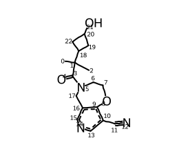 CC(C)(C(=O)N1CCOc2c(C#N)cncc2C1)C1CC(O)C1